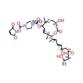 CC[C@H](O)[C@@H](C)[C@H]1O[C@@H]1C[C@@](C)(O)/C=C/C=C(\C)[C@H]1OC(=O)C[C@H](O)CC[C@@](C)(OC)[C@@H](OC(=O)N2CCN(C(=O)ON3C(=O)C=CC3=O)CC2)/C=C/[C@@H]1C